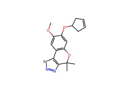 COc1cc2c(cc1OC1CC=CC1)OC(C)(C)c1nn[se]c1-2